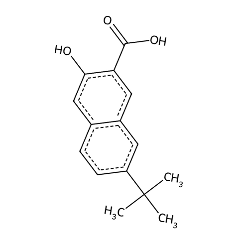 CC(C)(C)c1ccc2cc(O)c(C(=O)O)cc2c1